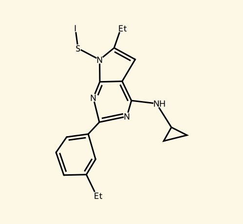 CCc1cccc(-c2nc(NC3CC3)c3cc(CC)n(SI)c3n2)c1